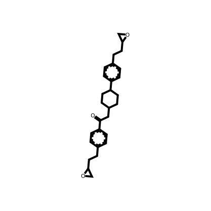 O=C(CC1CCC(c2ccc(CCC3CO3)cc2)CC1)c1ccc(CCC2CO2)cc1